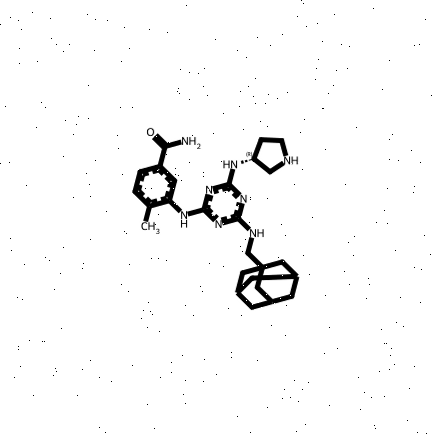 Cc1ccc(C(N)=O)cc1Nc1nc(NCC23CC4CC(CC(C4)C2)C3)nc(N[C@@H]2CCNC2)n1